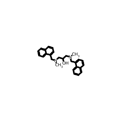 CN(Cc1cccc2ccccc12)CC(O)CN(C)Cc1cccc2ccccc12